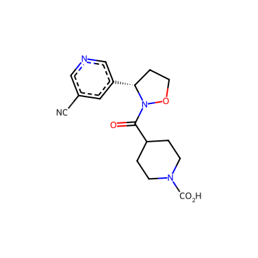 N#Cc1cncc([C@@H]2CCON2C(=O)C2CCN(C(=O)O)CC2)c1